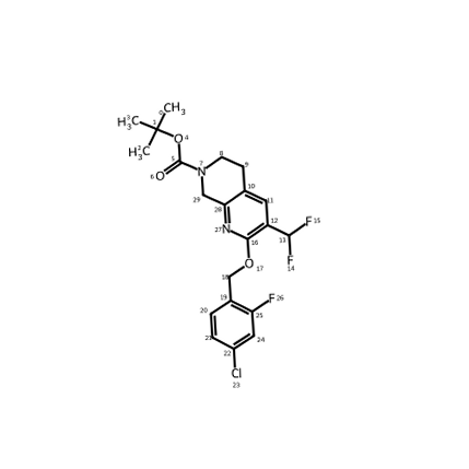 CC(C)(C)OC(=O)N1CCc2cc(C(F)F)c(OCc3ccc(Cl)cc3F)nc2C1